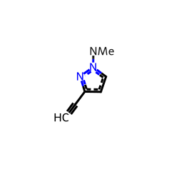 C#Cc1ccn(NC)n1